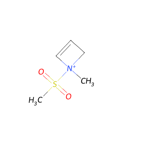 C[N+]1(S(C)(=O)=O)C=CC1